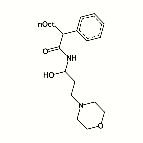 CCCCCCCCC(C(=O)NC(O)CCN1CCOCC1)c1ccccc1